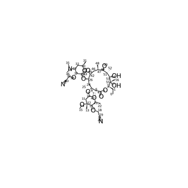 CC[C@H]1OC(=O)[C@H](C)[C@@H](O[C@H]2C[C@@](C)(OC)[C@@H](OCC#N)[C@H](C)O2)[C@H](C)[C@@H](O[C@@H]2O[C@H](C)C[C@H](N(C)C)[C@H]2OCC#N)[C@@](C)(OC)C[C@@H](C)C(=O)[C@H](C)[C@@H](O)[C@]1(C)O